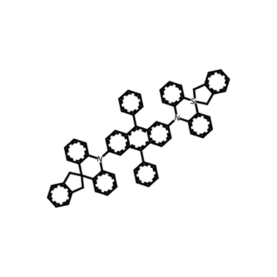 c1ccc(-c2c3ccc(N4c5ccccc5[Si]5(Cc6ccccc6C5)c5ccccc54)cc3c(-c3ccccc3)c3ccc(N4c5ccccc5C5(Cc6ccccc6C5)c5ccccc54)cc23)cc1